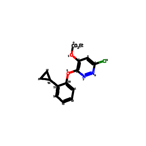 CCOC(=O)Oc1cc(Cl)nnc1Oc1ccccc1C1CC1